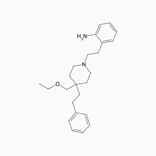 CCOCC1(CCc2ccccc2)CCN(CCc2ccccc2N)CC1